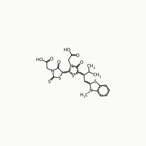 CC(C)C(C=C1Sc2ccccc2N1C)=c1sc(=C2SC(=S)N(CC(=O)O)C2=O)n(CC(=O)O)c1=O